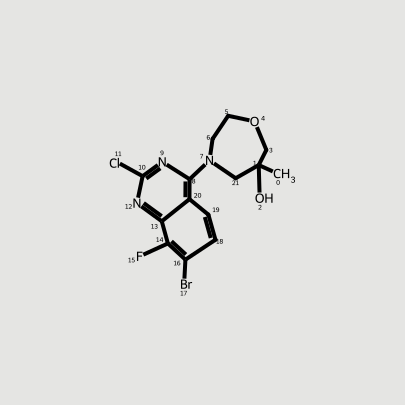 CC1(O)COCCN(c2nc(Cl)nc3c(F)c(Br)ccc23)C1